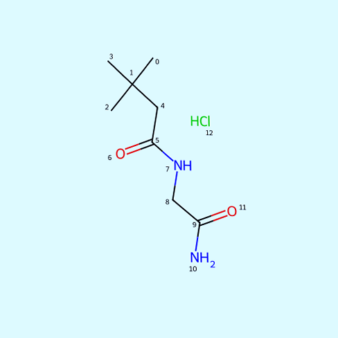 CC(C)(C)CC(=O)NCC(N)=O.Cl